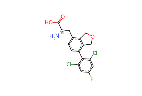 N[C@@H](Cc1ccc(-c2c(Cl)cc(F)cc2Cl)c2c1COC2)C(=O)O